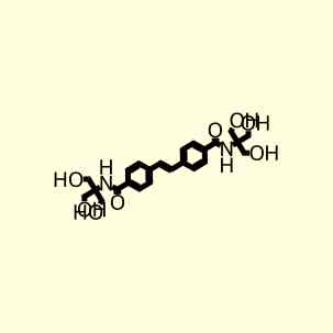 O=C(NC(CO)(CO)CO)c1ccc(C=Cc2ccc(C(=O)NC(CO)(CO)CO)cc2)cc1